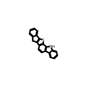 c1ccc2c(c1)Cc1c-2sc2c1ccc1c3ccccc3[nH]c12